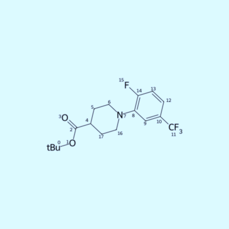 CC(C)(C)OC(=O)C1CCN(c2cc(C(F)(F)F)ccc2F)CC1